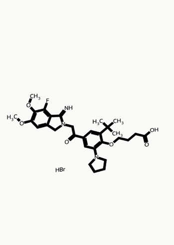 Br.COc1cc2c(c(F)c1OC)C(=N)N(CC(=O)c1cc(N3CCCC3)c(OCCCC(=O)O)c(C(C)(C)C)c1)C2